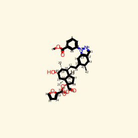 COC(=O)c1cccc(-n2ncc3c2C=C(CC[C@@H]2[C@@H](C)[C@@H](O)C[C@@]4(C)[C@H]2CC[C@]4(OC(=O)c2ccco2)C(=O)O)[C@H](C)C3)c1